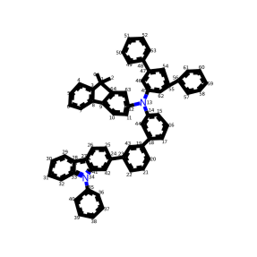 CC1(C)c2ccccc2-c2ccc(N(c3cccc(-c4cccc(-c5ccc6c7ccccc7n(-c7ccccc7)c6c5)c4)c3)c3cc(-c4ccccc4)cc(-c4ccccc4)c3)cc21